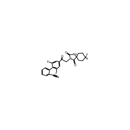 N#Cc1ccccc1-c1c(F)cc(C(=O)CN2C(=O)NC3(CCC(F)(F)CC3)C2=O)cc1F